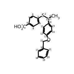 CN(Sc1ccc(C(=O)O)cc1)c1ccc(OCc2ccccc2)cc1